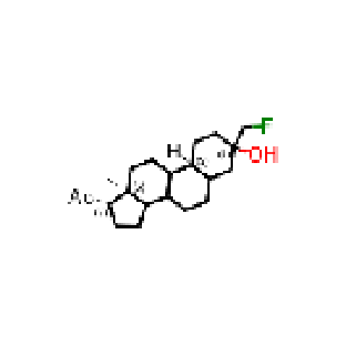 CC(=O)[C@H]1CCC2C3CCC4C[C@@](O)(CF)CC[C@@H]4C3CC[C@@]21C